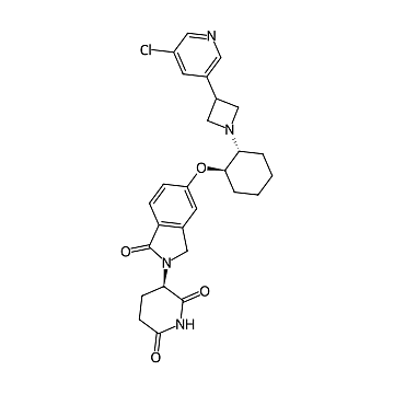 O=C1CC[C@@H](N2Cc3cc(O[C@@H]4CCCC[C@H]4N4CC(c5cncc(Cl)c5)C4)ccc3C2=O)C(=O)N1